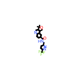 CC1(C)OCc2c1cnc1ccc(C(=O)NCc3ccc(C(F)(F)F)nn3)cc21